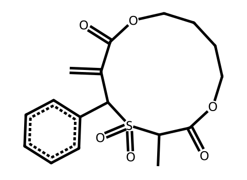 C=C1C(=O)OCCCCOC(=O)C(C)S(=O)(=O)C1c1ccccc1